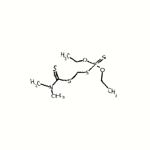 CCOP(=S)(OCC)SCSC(=S)N(C)C